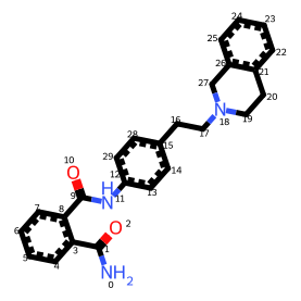 NC(=O)c1ccccc1C(=O)Nc1ccc(CCN2CCc3ccccc3C2)cc1